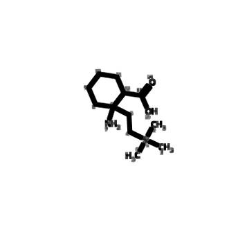 C[Si](C)(C)CCC1(N)CCCCC1C(=O)O